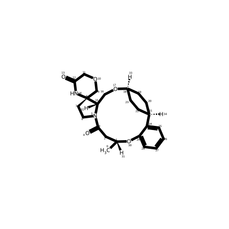 C[C@@H]1CC(=O)N2CC[C@@]3(COCC(=O)N3)[C@@H]2CO[C@H]2CC[C@H](CC2)c2ccccc2O1